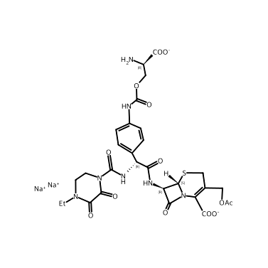 CCN1CCN(C(=O)N[C@@H](C(=O)N[C@@H]2C(=O)N3C(C(=O)[O-])=C(COC(C)=O)CS[C@@H]23)c2ccc(NC(=O)OC[C@@H](N)C(=O)[O-])cc2)C(=O)C1=O.[Na+].[Na+]